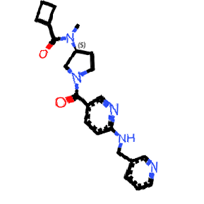 CN(C(=O)C1CCC1)[C@H]1CCN(C(=O)c2ccc(NCc3cccnc3)nc2)C1